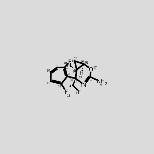 NC1=N[C@](CF)(c2c(F)cccc2F)[C@H]2C[C@H]2O1